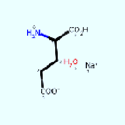 NC(CCC(=O)[O-])C(=O)O.O.[Na+]